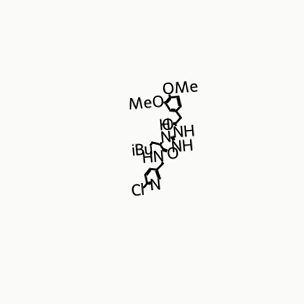 CCC(C)CC(NC(=N)NC(=O)Cc1ccc(OC)c(OC)c1)C(=O)NCc1ccc(Cl)nc1